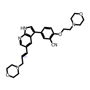 N#Cc1cc(-c2c[nH]c3ncc(/C=C/CN4CCOCC4)cc23)ccc1OCCN1CCOCC1